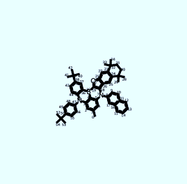 Cc1cc2c3c(c1)N(c1ccc4ccccc4c1)c1c(oc4cc5c(cc14)C(C)(C)CCC5(C)C)B3c1cc(C(C)(C)C)ccc1N2c1ccc(C(C)(C)C)cc1